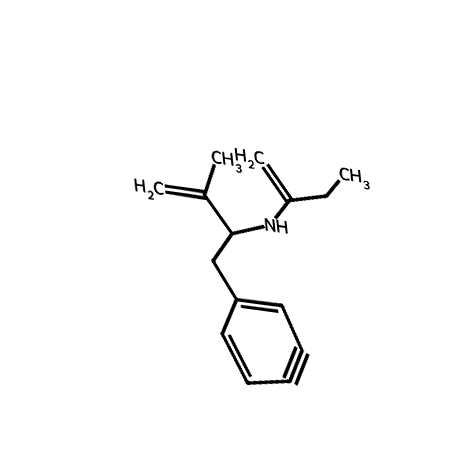 C=C(CC)NC(Cc1cc#ccc1)C(=C)C